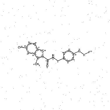 Cc1c(C(=O)NCc2ccc(OCF)cc2)sc2ccc(Cl)cc12